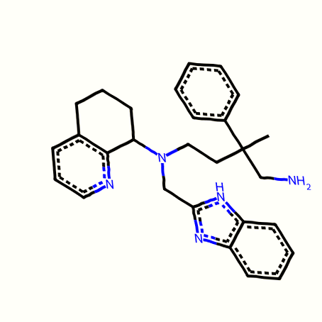 CC(CN)(CCN(Cc1nc2ccccc2[nH]1)C1CCCc2cccnc21)c1ccccc1